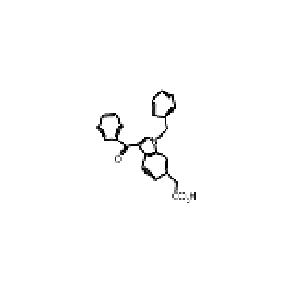 O=C(O)Cc1ccc2c(C(=O)c3ccccc3)cn(Cc3ccccc3)c2c1